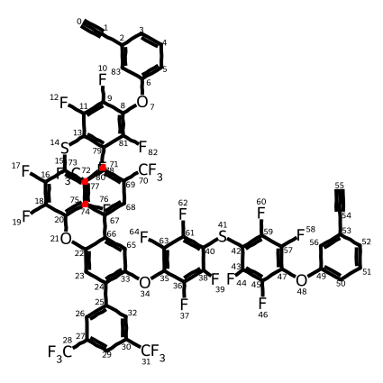 C#Cc1cccc(Oc2c(F)c(F)c(Sc3c(F)c(F)c(Oc4cc(-c5cc(C(F)(F)F)cc(C(F)(F)F)c5)c(Oc5c(F)c(F)c(Sc6c(F)c(F)c(Oc7cccc(C#C)c7)c(F)c6F)c(F)c5F)cc4-c4cc(C(F)(F)F)cc(C(F)(F)F)c4)c(F)c3F)c(F)c2F)c1